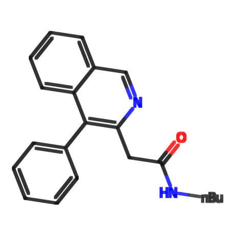 CCCCNC(=O)Cc1ncc2ccccc2c1-c1ccccc1